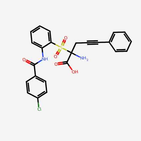 NC(CC#Cc1ccccc1)(C(=O)O)S(=O)(=O)c1ccccc1NC(=O)c1ccc(Cl)cc1